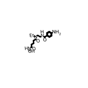 CCN(CCNC(=O)c1ccc(N)cc1)C(=O)CCCC(=O)NO